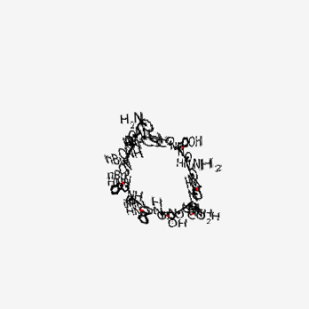 CCCC[C@H]1C(=O)N(C)[C@@H](CCCC)C(=O)N[C@@H](CC(C)C)C(=O)N[C@H](C(=O)NCC(N)=O)CSCC(=O)N[C@@H](Cc2ccc(O)cc2)C(=O)N(C)[C@@H](C)C(=O)N[C@@H](CCN)C(=O)N2CCC[C@H]2C(=O)N[C@@H](Cc2c[nH]cn2)C(=O)N[C@@H](CCC(=O)O)C(=O)N2C[C@H](O)C[C@H]2C(=O)N[C@@H](Cc2c[nH]c3ccccc23)C(=O)N[C@@H](C(C)C)C(=O)N[C@@H](Cc2c[nH]c3ccccc23)C(=O)N1C